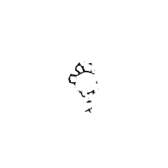 CN1CCC[C@@H]2OC(=O)Nc3cccc(c32)-c2cccc(n2)N[C@H]2C[C@@H](C1=O)N(C(=O)OC(C)(C)C)C2